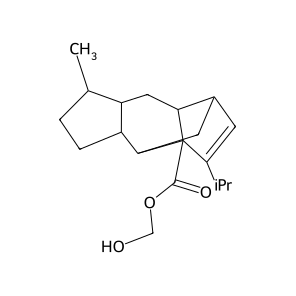 CC(C)C1=CC2CC3C4CCC(C)C4CC2C13C(=O)OCO